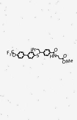 COC(=O)CCNC(=O)c1ccc(C(CC(C)C)Sc2ccc(-c3ccc(OC(F)(F)F)cc3)cc2)cc1